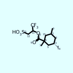 CC1C[C@H](I)CC(C)(C(=O)OC(CS(=O)(=O)O)C(F)(F)F)C1